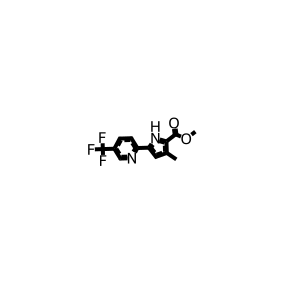 COC(=O)c1[nH]c(-c2ccc(C(F)(F)F)cn2)cc1C